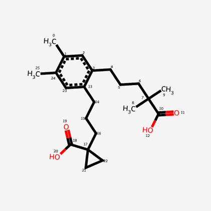 Cc1cc(CCCC(C)(C)C(=O)O)c(CCCC2(C(=O)O)CC2)cc1C